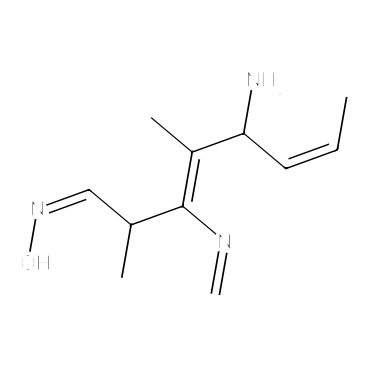 C=N/C(=C(/C)C(N)/C=C\C)C(C)/C=N\O